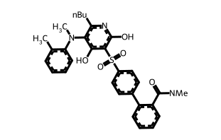 CCCCc1nc(O)c(S(=O)(=O)c2ccc(-c3ccccc3C(=O)NC)cc2)c(O)c1N(C)c1ccccc1C